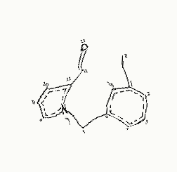 Cc1cccc(Cn2cccc2C=O)c1